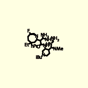 CCCC1(CC)CCC(F)=C=NC(C(C(=O)NC2CN(C(C)CC)CCC2C(NC)NCN)C(N)N)C1